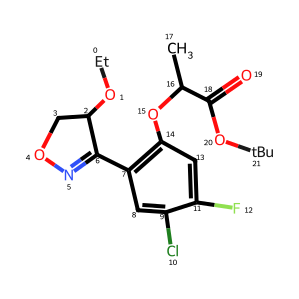 CCOC1CON=C1c1cc(Cl)c(F)cc1OC(C)C(=O)OC(C)(C)C